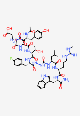 CNC(=N)NCCC[C@H](NC(=O)[C@H](CC(C)C)NC(=O)NNC(=O)[C@H](Cc1ccc(F)cc1)NC(=O)[C@@H](NC(=O)[C@H](CC(N)=O)NC(=O)[C@H](CCC(=O)O)NC(=O)[C@@H](Cc1ccc(O)cc1)NC(C)=O)[C@@H](C)O)C(=O)N[C@@H](Cc1c[nH]c2ccccc12)C(N)=O